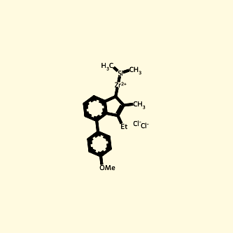 CCC1=C(C)[CH]([Zr+2][Si](C)C)c2cccc(-c3ccc(OC)cc3)c21.[Cl-].[Cl-]